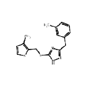 Cc1cccc(Cc2n[nH]c(SCc3sccc3C)n2)c1